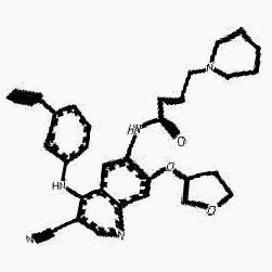 C#Cc1cccc(Nc2c(C#N)cnc3cc(OC4CCOC4)c(NC(=O)C=CCN4CCCCC4)cc23)c1